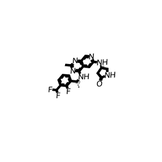 Cc1nc(N[C@H](C)c2cccc(C(F)F)c2F)c2cc(N[C@H]3CNC(=O)C3)ncc2n1